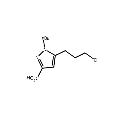 CCCCn1nc(C(=O)O)cc1CCCCl